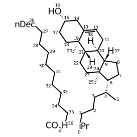 CC(C)CCCC(C)[C@H]1CC[C@H]2[C@@H]3CC=C4C[C@@H](O)CC[C@]4(C)[C@H]3CC[C@]12C.CCCCCCCCCCCCCCCCCCCC(=O)O